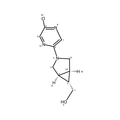 OC[C@@H]1[C@H]2CN(c3cnc(Cl)cn3)C[C@@H]12